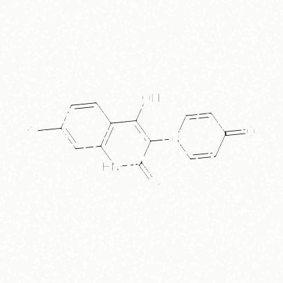 O=c1ccn(-c2c(O)c3ccc(Cl)cc3[nH]c2=O)cc1